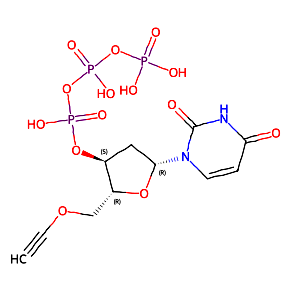 C#COC[C@H]1O[C@@H](n2ccc(=O)[nH]c2=O)C[C@@H]1OP(=O)(O)OP(=O)(O)OP(=O)(O)O